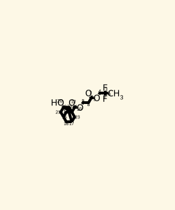 CC(F)(F)COC(=O)CCOC(=O)C12CC3CC(CC(O)(C3)C1)C2